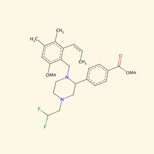 C/C=C\c1c(C)c(C)cc(OC)c1CN1CCN(CC(F)F)CC1c1ccc(C(=O)OC)cc1